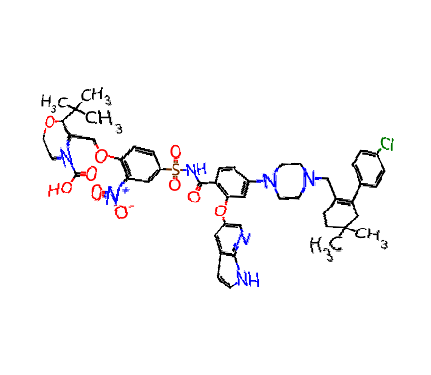 CC1(C)CCC(CN2CCN(c3ccc(C(=O)NS(=O)(=O)c4ccc(OCC5C(C(C)(C)C)OCCN5C(=O)O)c([N+](=O)[O-])c4)c(Oc4cnc5[nH]ccc5c4)c3)CC2)=C(c2ccc(Cl)cc2)C1